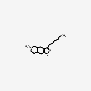 CCCCCCc1n[nH]c2c1CC1CN(C)CCC1C2